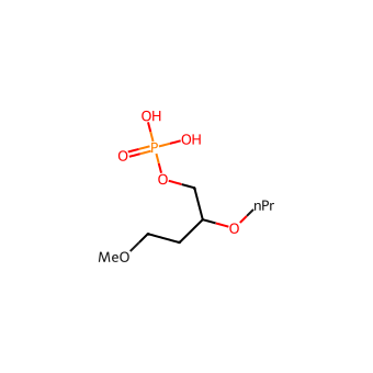 CCCOC(CCOC)COP(=O)(O)O